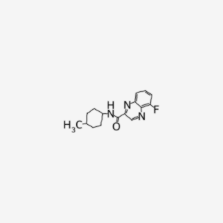 CC1CCC(NC(=O)c2cnc3c(F)cccc3n2)CC1